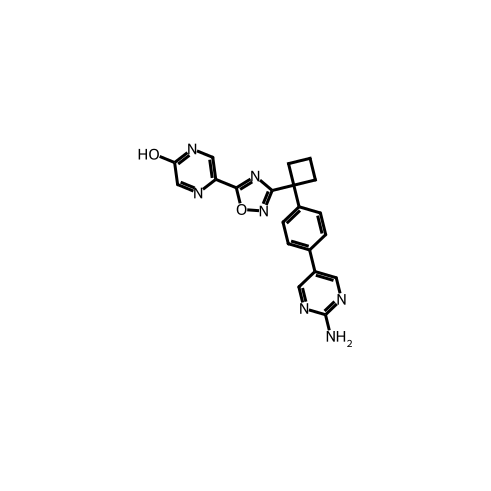 Nc1ncc(-c2ccc(C3(c4noc(-c5cnc(O)cn5)n4)CCC3)cc2)cn1